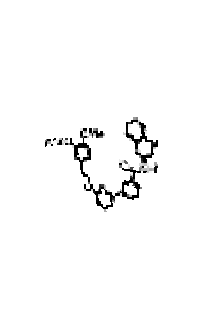 COc1ccc(CCOc2cccc(-c3cccc(C(=O)Nc4cnc5ccccc5c4)c3)n2)cc1OC